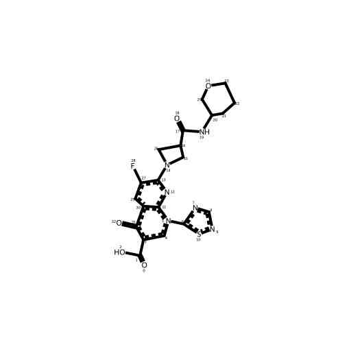 O=C(O)c1cn(-c2ncns2)c2nc(N3CC(C(=O)NC4CCCOC4)C3)c(F)cc2c1=O